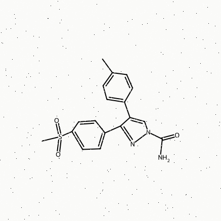 Cc1ccc(-c2[c]n(C(N)=O)nc2-c2ccc(S(C)(=O)=O)cc2)cc1